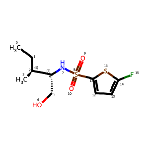 CC[C@H](C)[C@@H](CO)NS(=O)(=O)c1ccc(F)s1